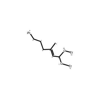 CCOC(/C=C(\C)CCCC(C)C)OCC